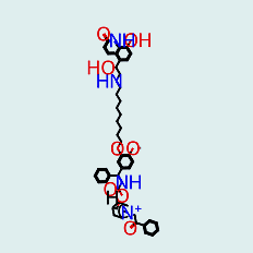 COc1ccc(C(NC(=O)O[C@H]2C[N+]3(CC(=O)c4ccccc4)CCC2CC3)c2ccccc2)cc1OCCCCCCCCCNC[C@H](O)c1ccc(O)c2[nH]c(=O)ccc12